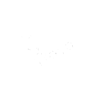 O=C[C@H](CCC(=O)O)NC(=O)N[C@@H](Cc1ccc(OC(=O)c2ccc(CF)cc2)cc1)C(=O)O